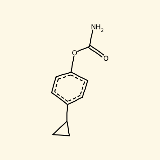 NC(=O)Oc1ccc(C2CC2)cc1